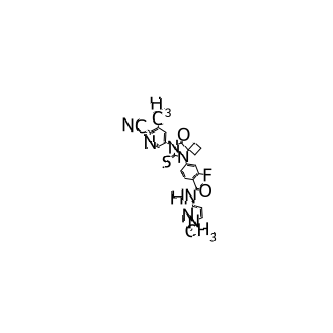 Cc1cc(N2C(=O)C3(CCC3)N(c3ccc(C(=O)Nc4ccn(C)n4)c(F)c3)C2=S)cnc1C#N